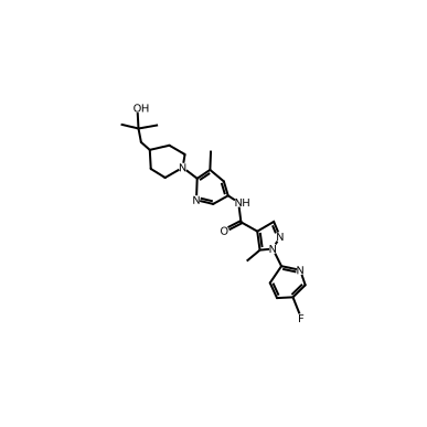 Cc1cc(NC(=O)c2cnn(-c3ccc(F)cn3)c2C)cnc1N1CCC(CC(C)(C)O)CC1